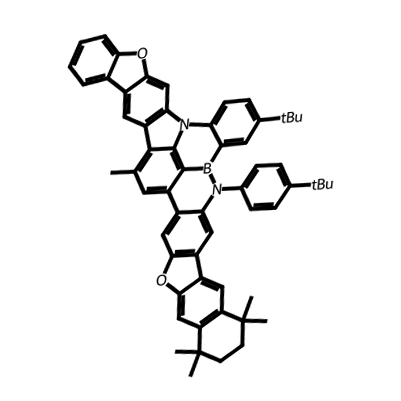 Cc1cc2c3c4c1c1cc5c(cc1n4-c1ccc(C(C)(C)C)cc1B3N(c1ccc(C(C)(C)C)cc1)c1cc3c(cc1-2)oc1cc2c(cc13)C(C)(C)CCC2(C)C)oc1ccccc15